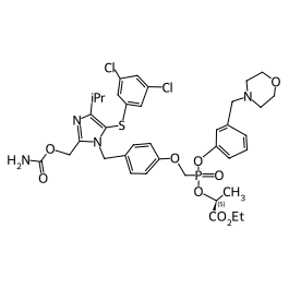 CCOC(=O)[C@H](C)OP(=O)(COc1ccc(Cn2c(COC(N)=O)nc(C(C)C)c2Sc2cc(Cl)cc(Cl)c2)cc1)Oc1cccc(CN2CCOCC2)c1